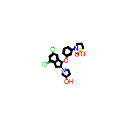 O=S1(=O)CCCN1c1cccc(O[C@@H]2c3cc(Cl)cc(Cl)c3C[C@@H]2N2CC[C@@H](O)C2)c1